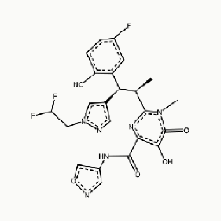 C[C@@H](c1nc(C(=O)Nc2cnoc2)c(O)c(=O)n1C)[C@@H](c1cnn(CC(F)F)c1)c1cc(F)ccc1C#N